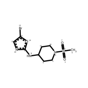 CS(=O)(=O)N1CCC(Nc2ncc(Br)s2)CC1